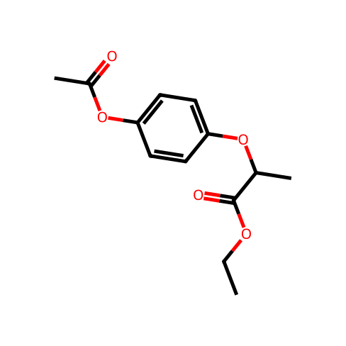 CCOC(=O)C(C)Oc1ccc(OC(C)=O)cc1